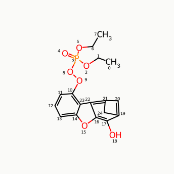 CCOP(=O)(OCC)OOc1cccc2oc3c(O)c4cc(c3c12)C4